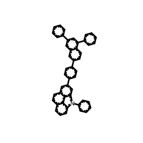 c1ccc(-c2cc(-c3ccccc3)c3ccc(-c4ccc(-c5cc6ccc7cccc8c7c6c(c5)n8-c5ccccc5)cc4)cc3c2)cc1